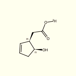 [2H]OC(=O)C[C@@H]1C=CC[C@@H]1O